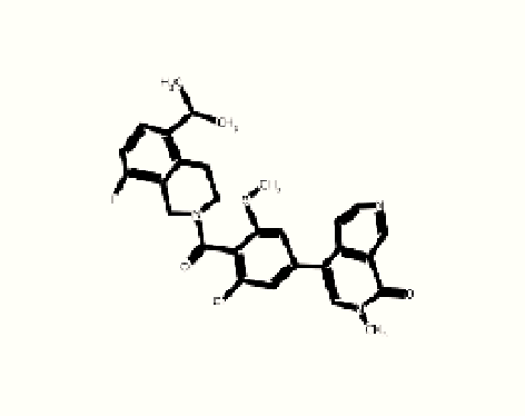 COc1cc(-c2cn(C)c(=O)c3cnccc23)cc(Cl)c1C(=O)N1CCc2c(C(C)C)ccc(F)c2C1